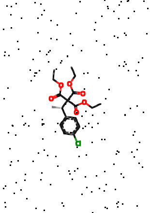 CCOC(=O)C(C(=O)OCC)(C(=O)OCC)[C@@H](C)c1ccc(Cl)cc1